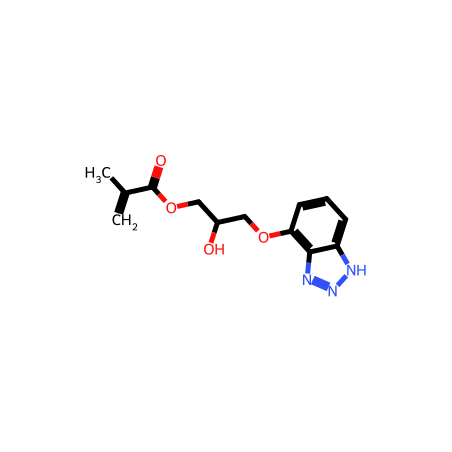 C=C(C)C(=O)OCC(O)COc1cccc2[nH]nnc12